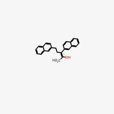 O=C(O)/C(O)=C(\CCc1ccc2ccccc2c1)c1ccc2ccccc2c1